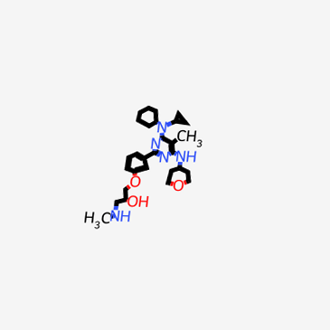 CNCC(O)COc1cccc(-c2nc(NC3CCOCC3)c(C)c(N(C3CCCCC3)C3CC3)n2)c1